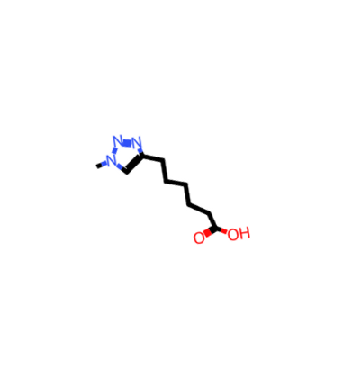 Cn1cc(CCCCCC(=O)O)nn1